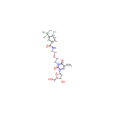 Cc1cn([C@H]2C[C@H](O)[C@@H](CO)O2)c(=O)n(CCOCCNC(=O)c2ccc(F)c(C(F)(F)F)c2)c1=O